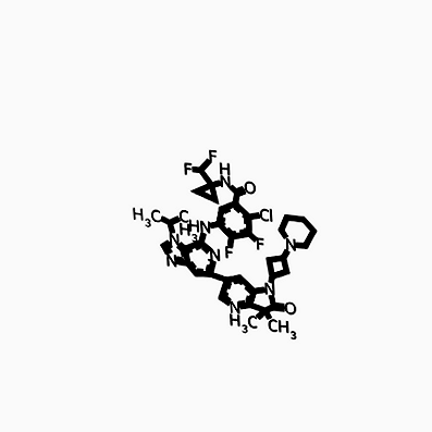 CC(C)n1cnc2cc(-c3cnc4c(c3)N(C3CC(N5CCCCC5)C3)C(=O)C4(C)C)nc(Nc3cc(C(=O)NC4(C(F)F)CC4)c(Cl)c(F)c3F)c21